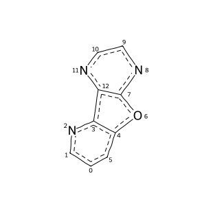 c1cnc2c(c1)oc1nccnc12